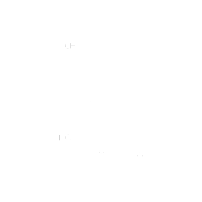 Cc1ccc(C2=CC(=O)OC2O)cc1